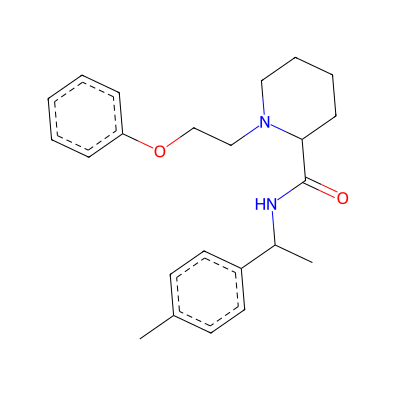 Cc1ccc(C(C)NC(=O)C2CCCCN2CCOc2ccccc2)cc1